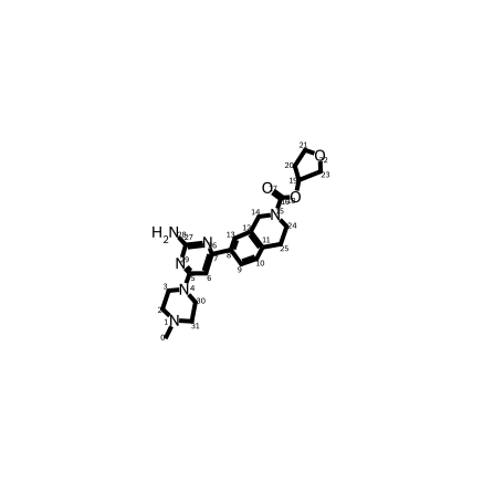 CN1CCN(c2cc(-c3ccc4c(c3)CN(C(=O)OC3CCOC3)CC4)nc(N)n2)CC1